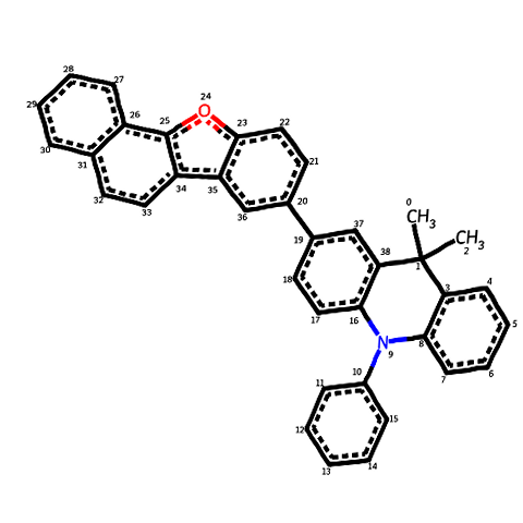 CC1(C)c2ccccc2N(c2ccccc2)c2ccc(-c3ccc4oc5c6ccccc6ccc5c4c3)cc21